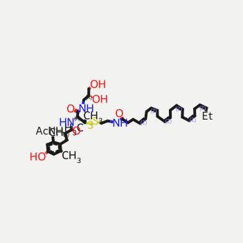 CC/C=C\C/C=C\C/C=C\C/C=C\C/C=C\C/C=C\CCC(=O)NCCSSC(C)(C)[C@H](NC(=O)[C@H](Cc1c(C)cc(O)cc1C)NC(C)=O)C(=O)NC[C@@H](O)CO